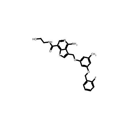 Cc1cc(OCc2ccccc2F)cc(OCc2csc3c(C(=O)NCCO)cnc(N)c23)c1